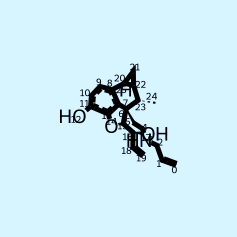 C=CCNCC[C@]12c3c(ccc(O)c3O[C@H]1[C@@H](O)C=C)C1C[C@H]1[C@@H]2C